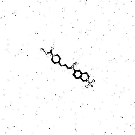 CCCN(CCCC1CCN(C(=O)OC(C)C)CC1)c1ccc2c(c1)CCN(S(C)(=O)=O)C2